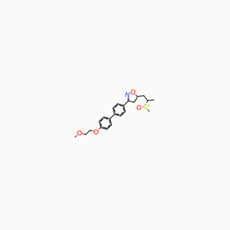 COCCOc1ccc(-c2ccc(C3=NOC(CC(C)[S+](C)[O-])C3)cc2)cc1